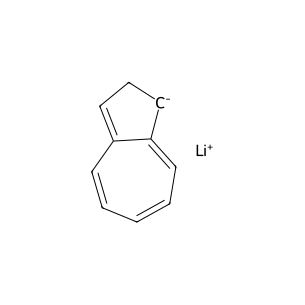 C1=CC=C2[CH-]CC=C2C=C1.[Li+]